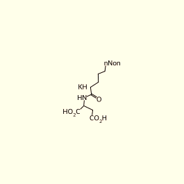 CCCCCCCCCCCCCC(=O)NC(CC(=O)O)C(=O)O.[KH]